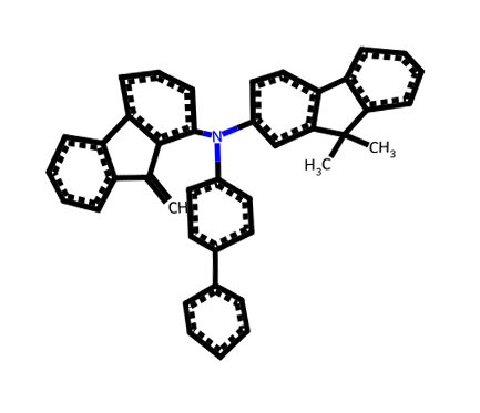 C=C1c2ccccc2-c2cccc(N(c3ccc(-c4ccccc4)cc3)c3ccc4c(c3)C(C)(C)c3ccccc3-4)c21